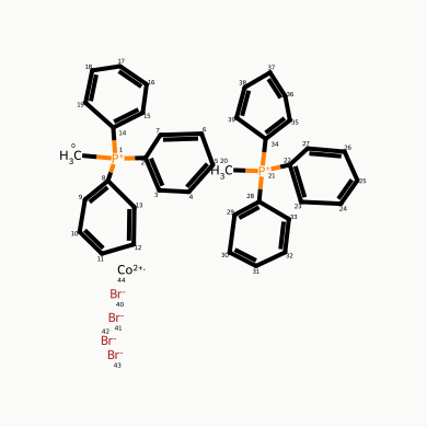 C[P+](c1ccccc1)(c1ccccc1)c1ccccc1.C[P+](c1ccccc1)(c1ccccc1)c1ccccc1.[Br-].[Br-].[Br-].[Br-].[Co+2]